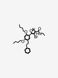 CCCCOc1cc(OCCCC)c(-c2onc(C(=O)NCC)c2Br)cc1CCc1ccccc1